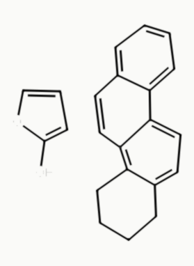 Oc1ccco1.c1ccc2c(c1)ccc1c3c(ccc12)CCCC3